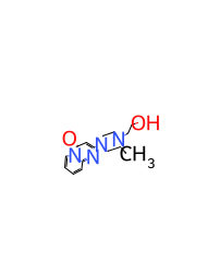 C[C@H]1CN(c2cc(=O)n3ccccc3n2)CCN1CCO